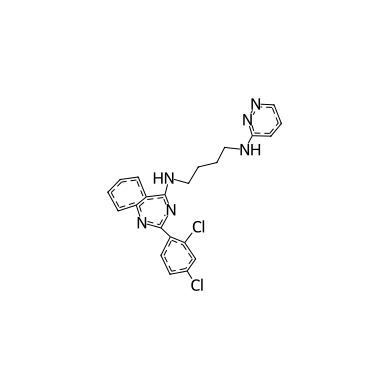 Clc1ccc(-c2nc(NCCCCNc3cccnn3)c3ccccc3n2)c(Cl)c1